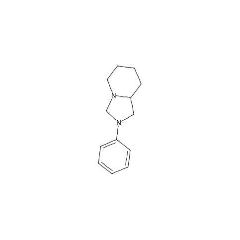 c1ccc(N2CC3CCCCN3C2)cc1